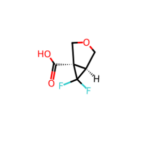 O=C(O)[C@]12COC[C@H]1C2(F)F